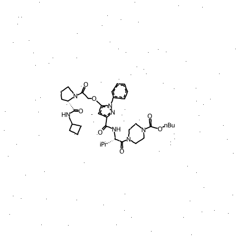 CCCCOC(=O)N1CCN(C(=O)[C@@H](NC(=O)c2cc(OCC(=O)N3CCC[C@H]3C(=O)NC3CCC3)n(-c3ccccc3)n2)C(C)C)CC1